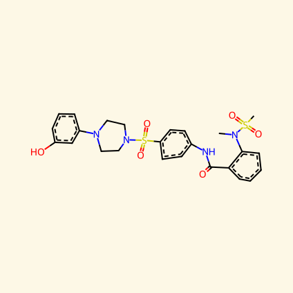 CN(c1ccccc1C(=O)Nc1ccc(S(=O)(=O)N2CCN(c3cccc(O)c3)CC2)cc1)S(C)(=O)=O